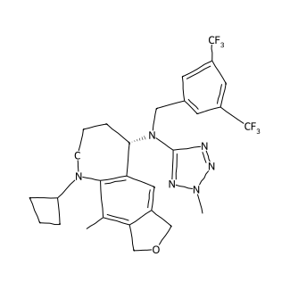 Cc1c2c(cc3c1N(C1CCC1)CCC[C@@H]3N(Cc1cc(C(F)(F)F)cc(C(F)(F)F)c1)c1nnn(C)n1)COC2